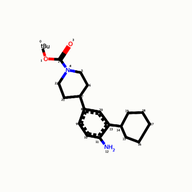 CC(C)(C)OC(=O)N1CCC(c2ccc(N)c(C3CCCCC3)c2)CC1